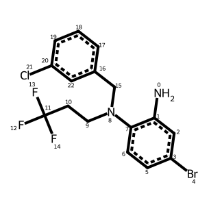 Nc1cc(Br)ccc1N(CCC(F)(F)F)Cc1cccc(Cl)c1